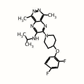 Cc1nnc(C)c2nc(N3CCC(Oc4ccc(F)cc4F)CC3)c(NC(C)C)nc12